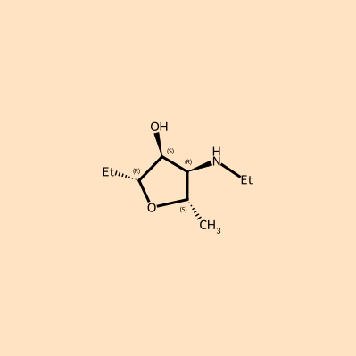 CCN[C@@H]1[C@H](O)[C@@H](CC)O[C@H]1C